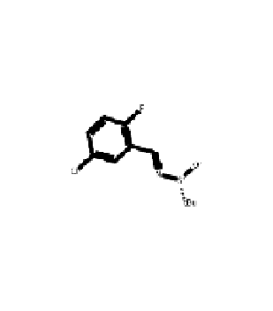 CC(C)(C)[S@@+]([O-])/N=C/c1cc(Cl)ccc1F